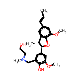 CC=Cc1cc(OC)c2c(c1)[C@@H](C)[C@H](c1cc(CN(C)CCO)c(O)c(OC)c1)O2